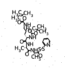 C[C@H](NC(=O)[C@H](CCCNC(=O)OC(C)(C)C)NC(=O)OC(C)(C)C)C(=O)N[C@@H](C)C(=O)SSc1ccccn1